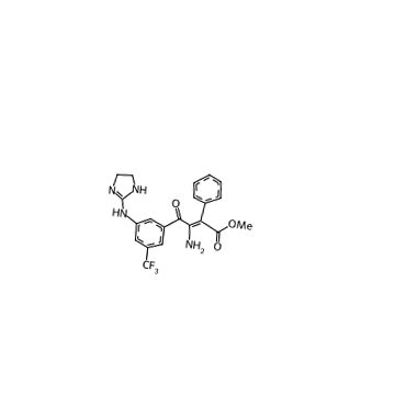 COC(=O)C(=C(N)C(=O)c1cc(NC2=NCCN2)cc(C(F)(F)F)c1)c1ccccc1